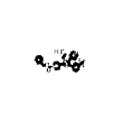 CCCn1c(C2CCN(C(=O)OCc3ccccc3)CC2)nc(-c2cccc(C(F)(F)F)c2)c1-c1ccncc1